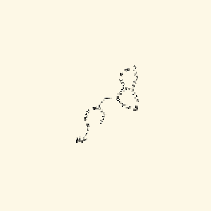 Cc1ccc(Cc2cccc3ccccc23)cc1